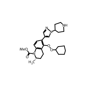 COC(=O)N1c2ccc(-c3cnn(C4CCNCC4)c3)c(OOC3CCCCC3)c2CC[C@@H]1C